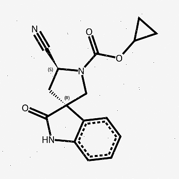 N#C[C@@H]1C[C@@]2(CN1C(=O)OC1CC1)C(=O)Nc1ccccc12